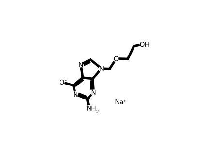 Nc1nc([O-])c2ncn(COCCO)c2n1.[Na+]